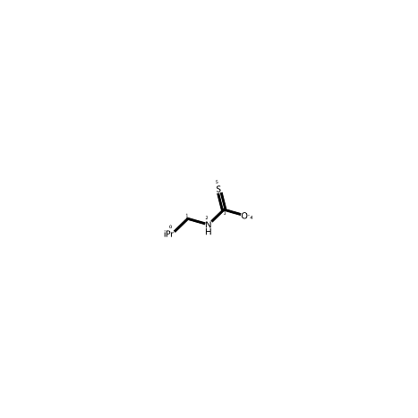 CC(C)CNC([O])=S